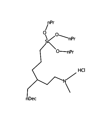 CCCCCCCCCCCC(CCC[Si](OCCC)(OCCC)OCCC)CCN(C)C.Cl